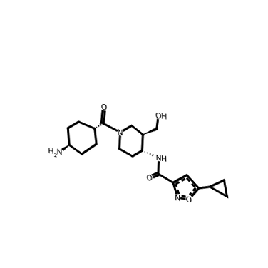 N[C@H]1CC[C@H](C(=O)N2CC[C@@H](NC(=O)c3cc(C4CC4)on3)[C@H](CO)C2)CC1